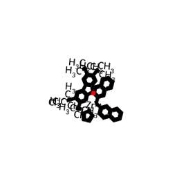 CC(C)(C)c1cc2c(cc1C(C)(C)C)-c1cc(C(C)(C)C)c(C(C)(C)C)[c]([Zr+2](=[C](c3ccc4ccccc4c3)c3ccc4ccccc4c3)[CH]3C=CC=C3)c1C2.[Cl-].[Cl-]